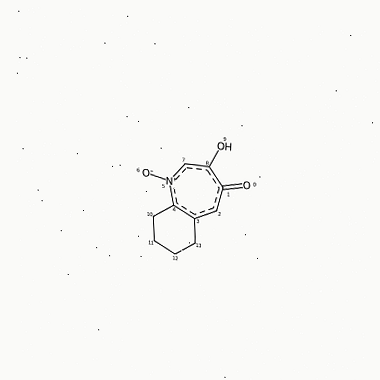 O=c1cc2c([n+]([O-])cc1O)CCCC2